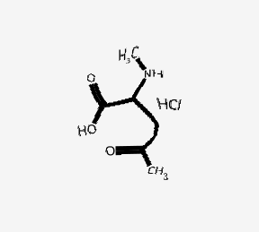 CNC(CC(C)=O)C(=O)O.Cl